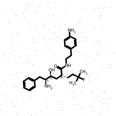 CC(C)(F)CC[C@H](C[C@H](O)[C@@H](N)Cc1ccccc1)C(=O)NCCc1ccc(N)cc1